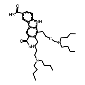 CCCCN(CCCC)CCCCc1c(C(=O)S)cc2c([nH]c3ccc(C(=O)S)cc32)c1CCCCN(CCCC)CCCC